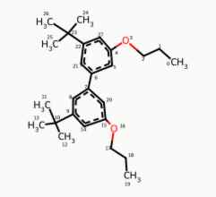 CCCOc1cc(-c2[c]c(C(C)(C)C)cc(OCCC)c2)[c]c(C(C)(C)C)c1